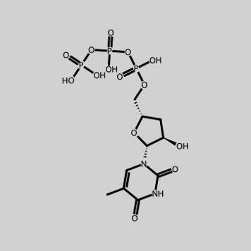 Cc1cn([C@@H]2O[C@H](COP(=O)(O)OP(=O)(O)OP(=O)(O)O)C[C@H]2O)c(=O)[nH]c1=O